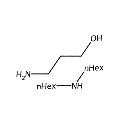 CCCCCCNCCCCCC.NCCCO